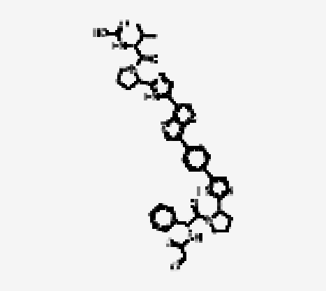 CC(C)[C@H](NC(=O)O)C(=O)N1CCCC1c1ncc(-c2csc3c(-c4ccc(-c5cnc(C6CCCN6C(=O)[C@H](NC(=O)C=O)c6ccccc6)[nH]5)cc4)csc23)[nH]1